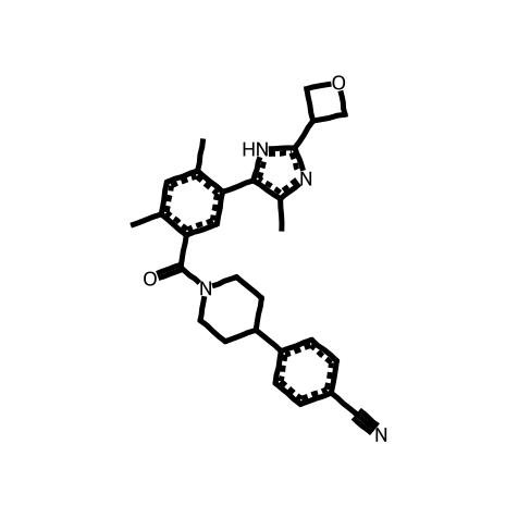 Cc1cc(C)c(-c2[nH]c(C3COC3)nc2C)cc1C(=O)N1CCC(c2ccc(C#N)cc2)CC1